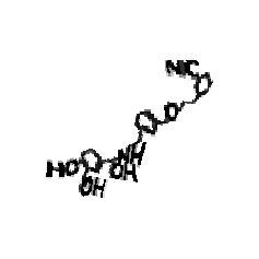 N#Cc1cccc(CCCOCc2cccc(CCNC[C@@H](O)c3ccc(O)c(CO)c3)c2)c1